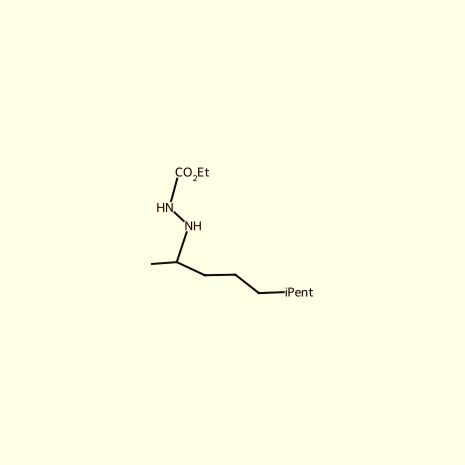 CCCC(C)CCCC(C)NNC(=O)OCC